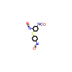 O=C=Nc1ccc(Sc2ccc(N=C=O)cc2N=C=O)cc1